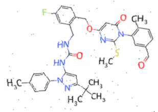 CSc1nc(OCc2ccc(F)cc2CNC(=O)Nc2cc(C(C)(C)C)nn2-c2ccc(C)cc2)cc(=O)n1-c1cc(C=O)ccc1C